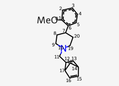 COc1ccccc1C1CCN(CC2CC3C=CC2C3)CC1